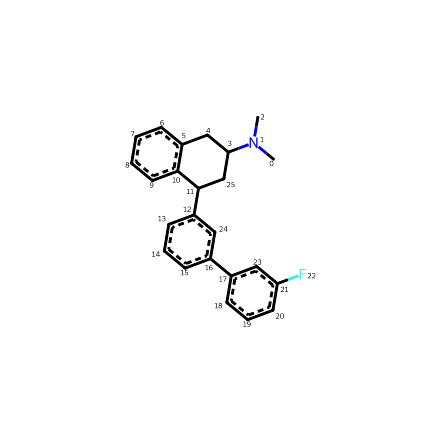 CN(C)C1Cc2ccccc2C(c2cccc(-c3cccc(F)c3)c2)C1